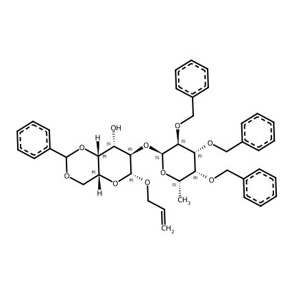 C=CCO[C@@H]1O[C@@H]2COC(c3ccccc3)O[C@@H]2[C@H](O)[C@H]1O[C@@H]1O[C@@H](C)[C@@H](OCc2ccccc2)[C@@H](OCc2ccccc2)[C@@H]1OCc1ccccc1